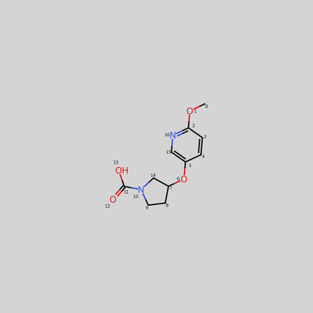 COc1ccc(OC2CCN(C(=O)O)C2)cn1